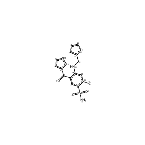 NS(=O)(=O)c1cc(C(=O)n2ccnc2)c(NCc2ccco2)cc1Cl